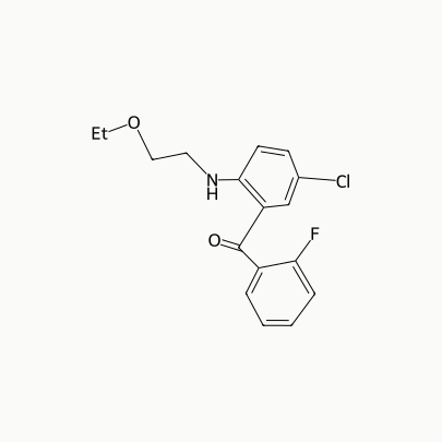 CCOCCNc1ccc(Cl)cc1C(=O)c1ccccc1F